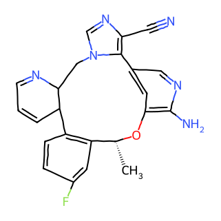 C[C@H]1Oc2cc(cnc2N)-c2c(C#N)ncn2CC2N=CC=CC2c2ccc(F)cc21